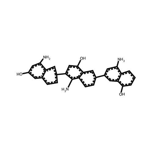 Nc1cc(O)cc2ccc(-c3cc(O)c4cc(-c5cc(N)c6cccc(O)c6c5)ccc4c3N)cc12